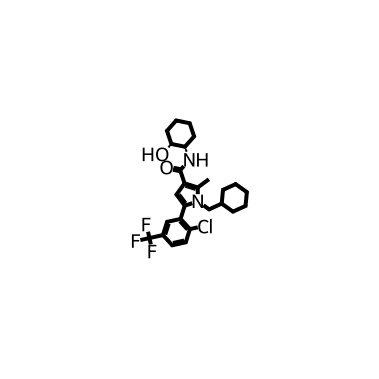 Cc1c(C(=O)N[C@H]2CCCC[C@H]2O)cc(-c2cc(C(F)(F)F)ccc2Cl)n1CC1CCCCC1